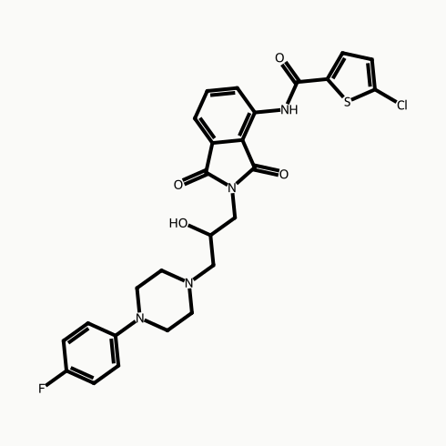 O=C(Nc1cccc2c1C(=O)N(CC(O)CN1CCN(c3ccc(F)cc3)CC1)C2=O)c1ccc(Cl)s1